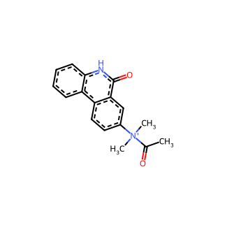 CC(=O)[N+](C)(C)c1ccc2c(c1)c(=O)[nH]c1ccccc12